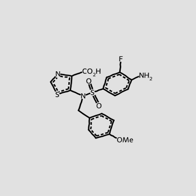 COc1ccc(CN(c2scnc2C(=O)O)S(=O)(=O)c2ccc(N)c(F)c2)cc1